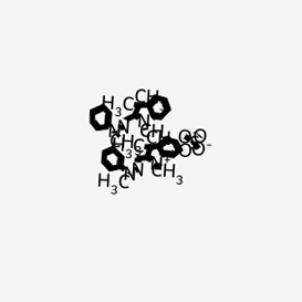 CN(N=CC1=[N+](C)c2ccccc2C1(C)C)c1ccccc1.CN(N=CC1=[N+](C)c2ccccc2C1(C)C)c1ccccc1.O=S(=O)([O-])[O-]